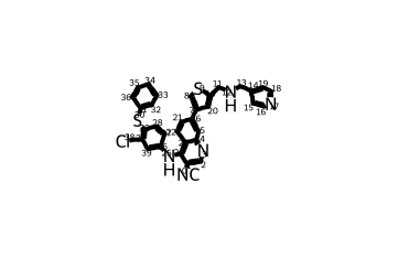 N#Cc1cnc2cc(-c3csc(CNCc4ccncc4)c3)ccc2c1Nc1ccc(Sc2ccccc2)c(Cl)c1